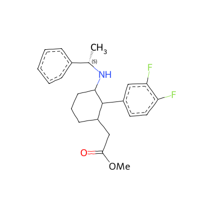 COC(=O)CC1CCCC(N[C@@H](C)c2ccccc2)C1c1ccc(F)c(F)c1